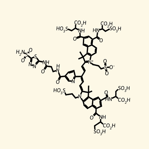 CC1(C)C(/C=C/C(=C/C=C2/N(CCCS(=O)(=O)O)c3ccc4c(C(=O)NC(CS(=O)(=O)O)C(=O)O)cc(C(=O)NC(CS(=O)(=O)O)C(=O)O)cc4c3C2(C)C)c2ccc(C(=O)NCCC(=O)Nc3nnc(S(N)(=O)=O)s3)cn2)=[N+](CCCS(=O)(=O)[O-])c2ccc3c(C(=O)NC(CS(=O)(=O)O)C(=O)O)cc(C(=O)NC(CS(=O)(=O)O)C(=O)O)cc3c21